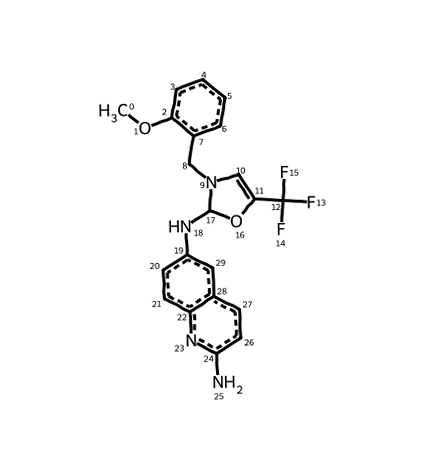 COc1ccccc1CN1C=C(C(F)(F)F)OC1Nc1ccc2nc(N)ccc2c1